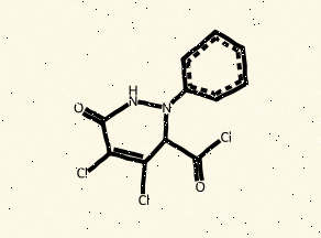 O=C1NN(c2ccccc2)C(C(=O)Cl)C(Cl)=C1Cl